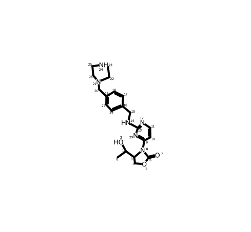 CC(O)C1COC(=O)N1c1ccnc(NCc2ccc(CN3CCNCC3)cc2)n1